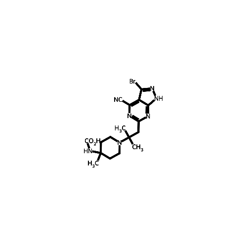 CC1(NC(=O)O)CCN(C(C)(C)Cc2nc(C#N)c3c(Br)n[nH]c3n2)CC1